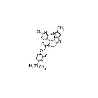 Cc1nn2c3c(nc2s1)CCN(C(=O)COc1ccc(N(C)C)nc1Cl)C3c1ccc(Cl)nc1F